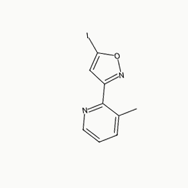 Cc1cccnc1-c1cc(I)on1